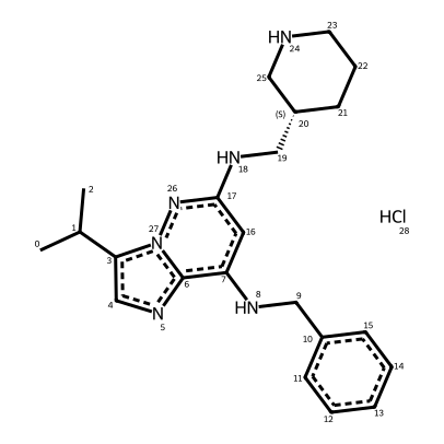 CC(C)c1cnc2c(NCc3ccccc3)cc(NC[C@H]3CCCNC3)nn12.Cl